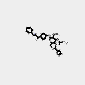 CC(=O)NC1C(Oc2ccc(C(=O)/C=C/c3ccccc3)cc2)OC2COC(c3ccco3)OC2C1OC(C)C(=O)O